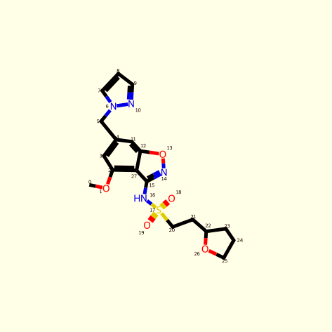 COc1cc(Cn2cccn2)cc2onc(NS(=O)(=O)CCC3CCCO3)c12